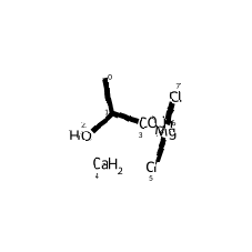 CC(O)C(=O)O.[CaH2].[Cl][Mg][Cl]